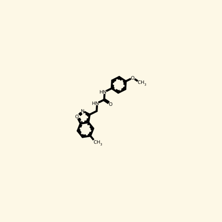 COc1ccc(NC(=O)NCc2noc3ccc(C)cc23)cc1